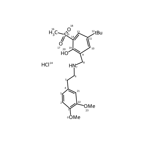 COc1ccc(CCNCc2cc(C(C)(C)C)cc(S(C)(=O)=O)c2O)cc1OC.Cl